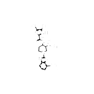 CCCNC1CN(c2nc3cccc(C(=O)O)c3s2)CCC1NC(=O)c1nc(Cl)c(CC)[nH]1